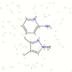 Cc1c[nH]nc1C.Nc1ccccn1.[Hf]